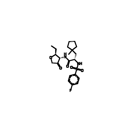 CC[C@@H]1OCC(=O)[C@H]1NC(=O)[C@H](CC1(C)CCCC1)NS(=O)(=O)c1ccc(F)cc1